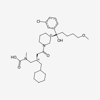 COCCCCC(O)(c1cccc(Cl)c1)[C@@H]1CCCN(C(=O)C[C@@H](CC2CCCCC2)CN(C)C(=O)O)C1